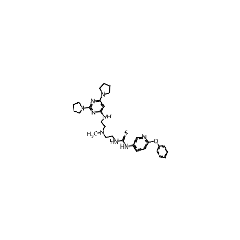 CN(CCNC(=S)Nc1ccc(Oc2ccccc2)nc1)CCNc1cc(N2CCCC2)nc(N2CCCC2)n1